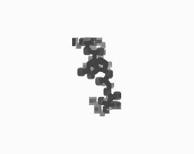 CCC(C)(C)C(=O)OCC(=O)OC1C2CC3C1OC(=O)C3C2C(=O)OC(C)C(F)(F)F